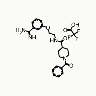 N=C(N)c1cccc(OCCNC(=O)C2CCN(C(=O)c3ccccc3)CC2)c1.O=C(O)C(F)(F)F